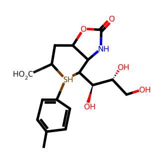 Cc1ccc([SH]2C(C(=O)O)CC3OC(=O)NC3C2[C@H](O)[C@H](O)CO)cc1